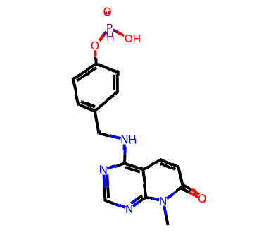 Cn1c(=O)ccc2c(NCc3ccc(O[PH](=O)O)cc3)ncnc21